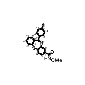 CONC(=O)c1ccc2c(c1)N=C(c1ccc(Br)cc1)c1ccccc1S2